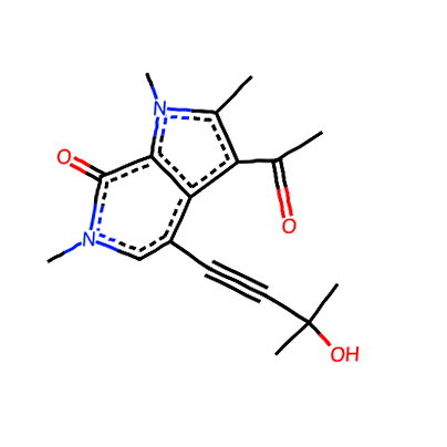 CC(=O)c1c(C)n(C)c2c(=O)n(C)cc(C#CC(C)(C)O)c12